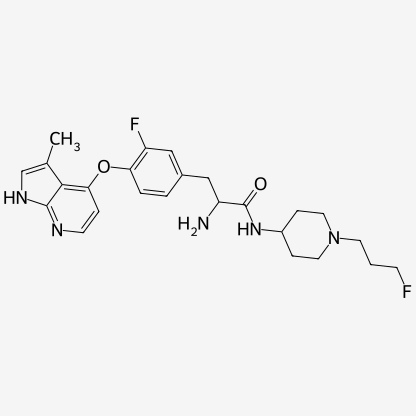 Cc1c[nH]c2nccc(Oc3ccc(CC(N)C(=O)NC4CCN(CCCF)CC4)cc3F)c12